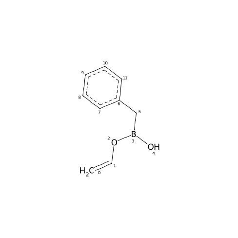 C=COB(O)Cc1ccccc1